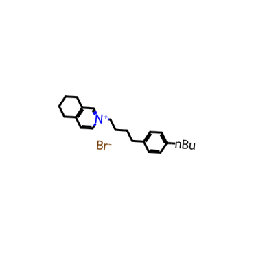 CCCCc1ccc(CCCC[n+]2ccc3c(c2)CCCC3)cc1.[Br-]